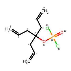 C=CCC(CC=C)(CC=C)OP(=O)(Cl)Cl